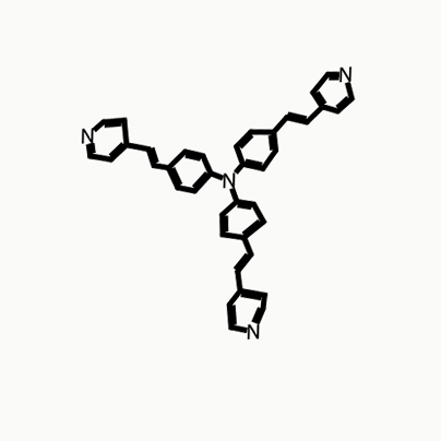 C(=Cc1ccc(N(c2ccc(C=Cc3ccncc3)cc2)c2ccc(C=Cc3ccncc3)cc2)cc1)c1ccncc1